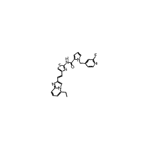 CCc1cccc2nc(C=Cc3csc(NC(=O)c4cccn4Cc4ccnc(F)c4)n3)cn12